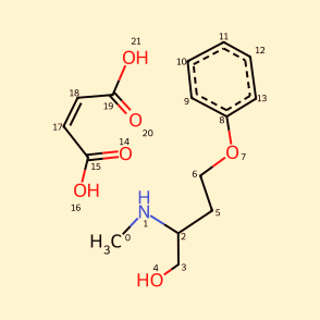 CNC(CO)CCOc1ccccc1.O=C(O)/C=C\C(=O)O